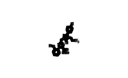 CCOc1ccccc1-n1nc(Cn2nc(-c3ccc(Cl)cc3)n(CCC(F)(F)F)c2=O)nc1C(=O)OC